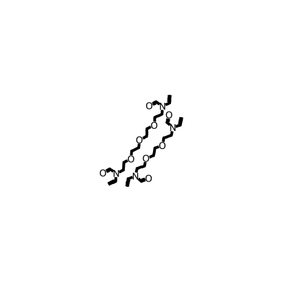 C=CN(C=O)CCOCCOCCN(C=C)C=O.C=CN(C=O)CCOCCOCCOCCN(C=C)C=O